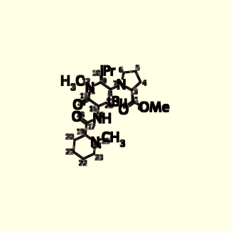 COC(=O)[C@@H]1CCCN1C[C@H](C(C)C)N(C)C(=O)C(NC(=O)C1CCCCN1C)C(C)(C)C